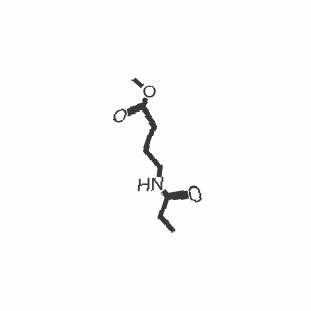 CCC(=O)NCCCC(=O)OC